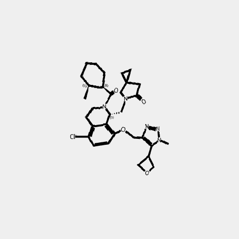 C[C@H]1CCCC[C@H]1C(=O)N1CCc2c(Cl)ccc(OCc3nnn(C)c3C3COC3)c2[C@H]1CN1CC2(CC2)CC1=O